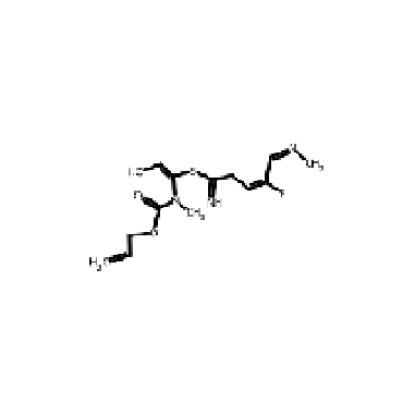 C=CCOC(=O)N(C)/C(=C\C)SC(=N)C/C=C(F)\C=N/C